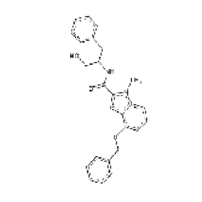 Cn1c(C(=O)NC(CO)Cc2ccccc2)cc2c(OCc3ccccc3)cccc21